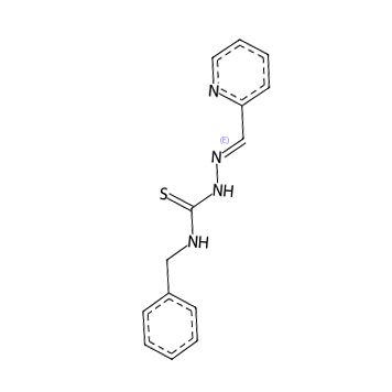 S=C(NCc1ccccc1)N/N=C/c1ccccn1